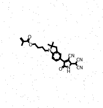 C=C(C)C(=O)OCCCCN1c2ccc(C3=C(C#N)C(C(C#N)C#N)NC3=O)cc2CC1(C)C